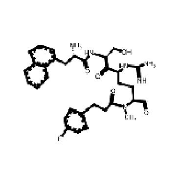 CN(C(=O)CCc1ccc(F)cc1)[C@H]([C]=O)CCC(NC(=N)N)C(=O)[C@H](CO)NC(=O)[C@@H](N)Cc1cccc2ccccc12